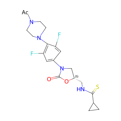 CC(=O)N1CCN(c2c(F)cc(N3C[C@H](CNC(=S)C4CC4)OC3=O)cc2F)CC1